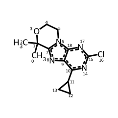 CC1(C)OCCn2c1nc1c(C3CC3)nc(Cl)nc12